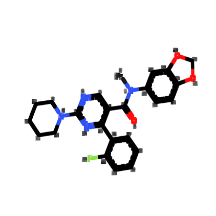 CC(C)N(C(=O)c1cnc(N2CCCCC2)nc1-c1ccccc1F)c1ccc2c(c1)OCO2